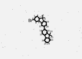 CC1(C)c2ccc(Br)cc2-c2cc(-c3ccc4c(c3)C(C)(C)c3ccccc3-4)ccc21